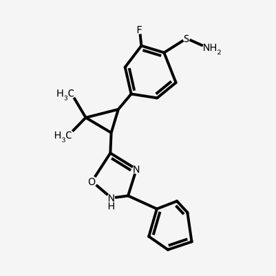 CC1(C)C(C2=NC(c3ccccc3)NO2)C1c1ccc(SN)c(F)c1